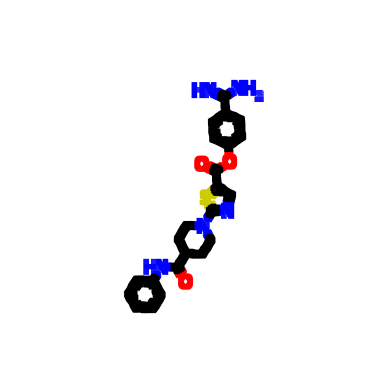 N=C(N)c1ccc(OC(=O)c2cnc(N3CCC(C(=O)Nc4ccccc4)CC3)s2)cc1